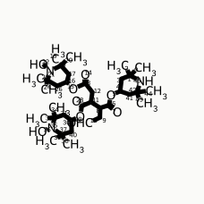 CC1(C)CC(OC(=O)C(CC=O)C(CC(=O)OC2CC(C)(C)N(O)C(C)(C)C2)C(=O)OC2CC(C)(C)N(O)C(C)(C)C2)CC(C)(C)N1